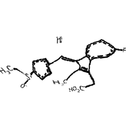 CC1=C(CC(=O)O)c2cc(F)ccc2C1=Cc1ccc([S@+](C)[O-])cc1.I